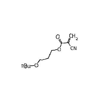 C=C(C#N)C(=O)OCCCOCCCC